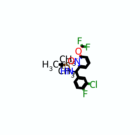 CC(C)(C)[S@@+]([O-])N[C@H](c1ccc(F)c(Cl)c1)c1cccc(OC(F)F)n1